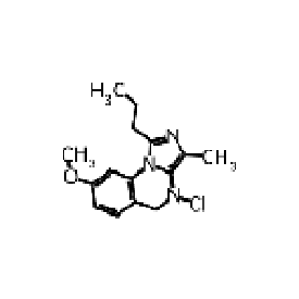 CCCc1nc(C)c2n1-c1cc(OC)ccc1CN2Cl